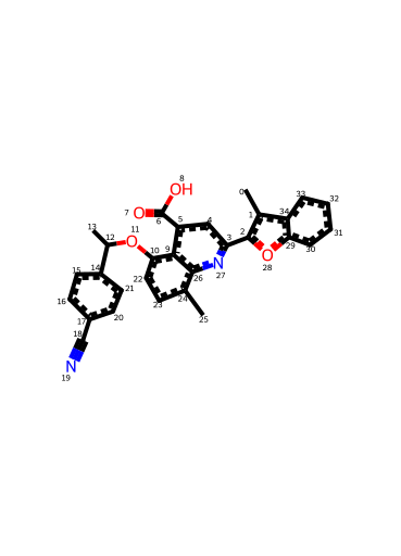 Cc1c(-c2cc(C(=O)O)c3c(OC(C)c4ccc(C#N)cc4)ccc(C)c3n2)oc2ccccc12